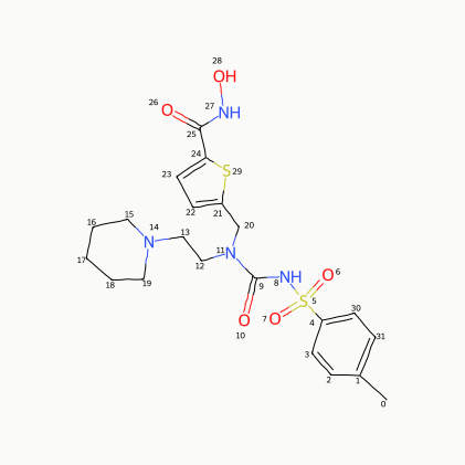 Cc1ccc(S(=O)(=O)NC(=O)N(CCN2CCCCC2)Cc2ccc(C(=O)NO)s2)cc1